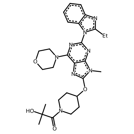 CCc1nc2ccccc2n1-c1nc(N2CCOCC2)c2nc(OC3CCN(C(=O)C(C)(C)O)CC3)n(C)c2n1